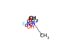 CCCCCCCCCCCC[n+]1c2cccc(OC)c2c2c3c(cccc31)N(c1cc(F)ccc1O)c1cccc(OC)c1-2